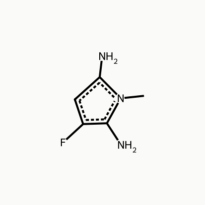 Cn1c(N)cc(F)c1N